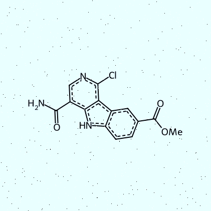 COC(=O)c1ccc2[nH]c3c(C(N)=O)cnc(Cl)c3c2c1